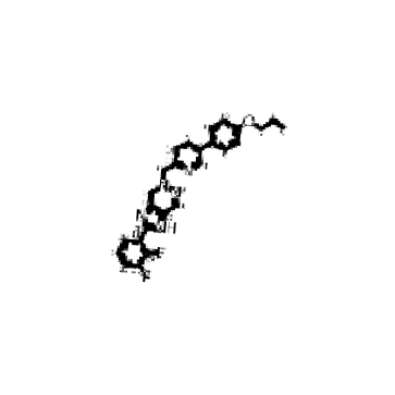 CCCOc1ccc(-c2ccc(CN3Cc4nc(-c5cccc(F)c5F)[nH]c4C=N3)nc2)cc1